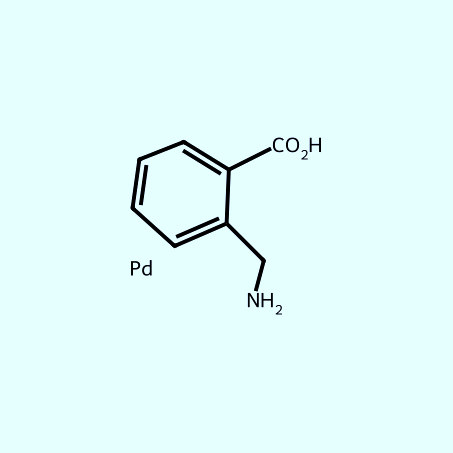 NCc1ccccc1C(=O)O.[Pd]